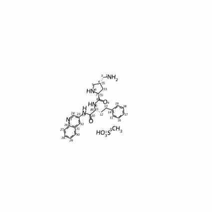 CS(=O)(=O)O.NC[C@H]1CN[C@H](C(=O)N[C@H](CCc2ccccc2)C(=O)Nc2cnc3ccccc3c2)C1